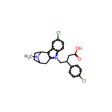 CN1C2CCC1c1c(n(CC(CC(=O)O)c3ccc(Cl)cc3)c3ccc(Cl)cc13)C2